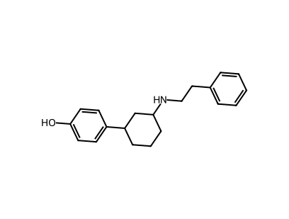 Oc1ccc(C2CCCC(NCCc3ccccc3)C2)cc1